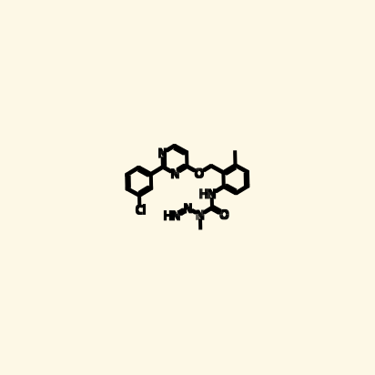 Cc1cccc(NC(=O)N(C)N=N)c1COc1ccnc(-c2cccc(Cl)c2)n1